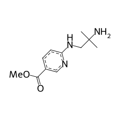 COC(=O)c1ccc(NCC(C)(C)N)nc1